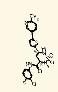 CN1[C@@H](C(=O)Nc2ccc(F)c(Cl)c2)C[C@@H](c2ccc(-c3ccc(C(F)(F)F)nc3)s2)NS1(=O)=O